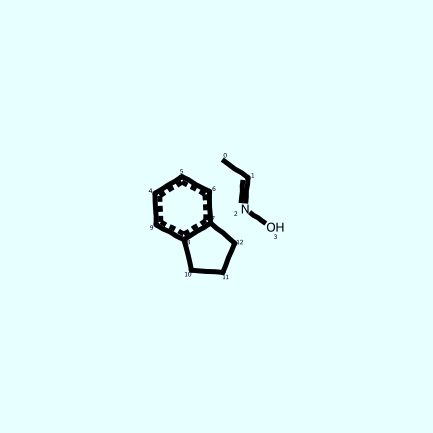 C/C=N/O.c1ccc2c(c1)CCC2